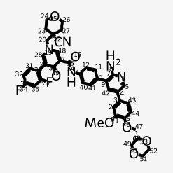 COc1cc(-c2cnc(N)c(-c3ccc(NC(=O)c4cn(CC5(C#N)CCOCC5)cc(-c5ccc(F)cc5F)c4=O)cc3)c2)ccc1OC[C@H]1COCCO1